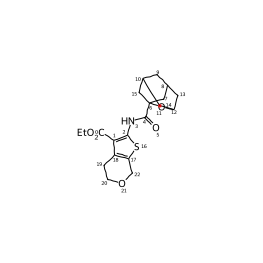 CCOC(=O)c1c(NC(=O)C23CC4CC(CC(C4)O2)C3)sc2c1CCOC2